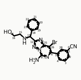 N#Cc1cccc(-c2nc(N)n3nc(C(NCCO)c4ccccc4)nc3c2Br)c1